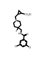 CCOC(=O)C1CC1CN1CCC(F)(CNC(=O)c2cc(Cl)cc(Cl)c2)CC1